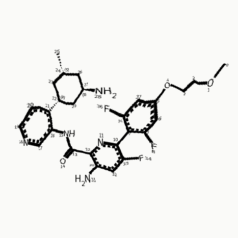 COCCOc1cc(F)c(-c2nc(C(=O)Nc3cnccc3[C@@H]3C[C@H](C)C[C@@H](N)C3)c(N)cc2F)c(F)c1